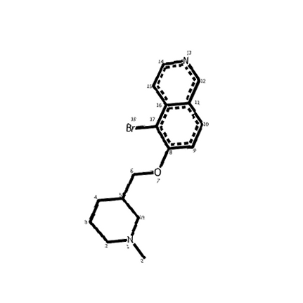 CN1CCCC(COc2ccc3cnccc3c2Br)C1